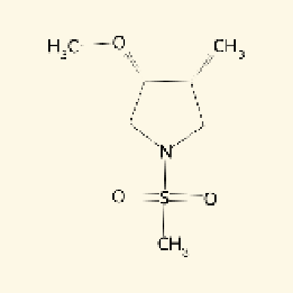 CO[C@H]1CN(S(C)(=O)=O)C[C@H]1C